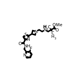 COC(=O)C(C)(C)CNCCN1CC(c2nc(C(=O)NCc3ncccc3F)cs2)C1